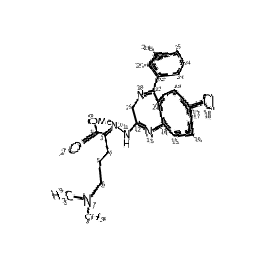 COC(=O)/C(CCCN(C)C)=N/NC1=Nc2ccc(Cl)cc2C(c2ccccc2)=NC1